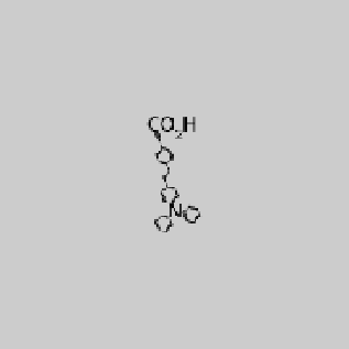 O=C(O)C#Cc1ccc(C=Cc2ccc(N(c3ccccc3)c3ccccc3)cc2)cc1